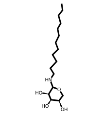 CCCCCCCCCCCCNC1OC[C@@H](O)[C@@H](O)[C@H]1O